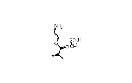 C=C(C)C(=O)OCCN.O=S(=O)(O)O